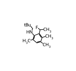 Cc1cc(C)c(NCC(C)(C)C)c(C(C)F)c1C